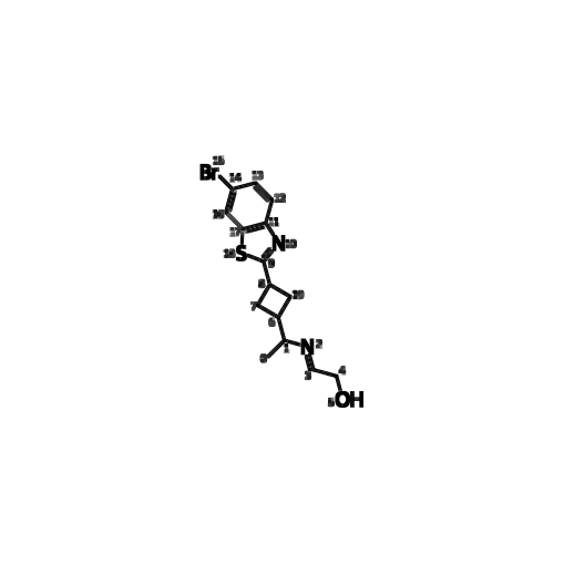 CC(/N=C/CO)C1CC(c2nc3ccc(Br)cc3s2)C1